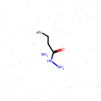 CCCCCC(=O)NN.N